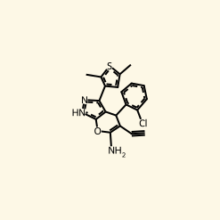 C#CC1=C(N)Oc2[nH]nc(-c3cc(C)sc3C)c2C1c1ccccc1Cl